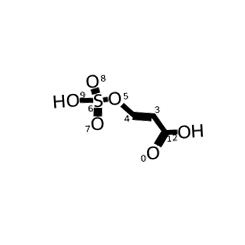 O=C(O)C=COS(=O)(=O)O